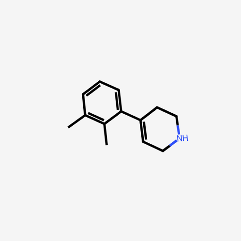 Cc1cccc(C2=CCNCC2)c1C